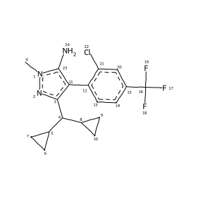 Cn1nc(C(C2CC2)C2CC2)c(-c2ccc(C(F)(F)F)cc2Cl)c1N